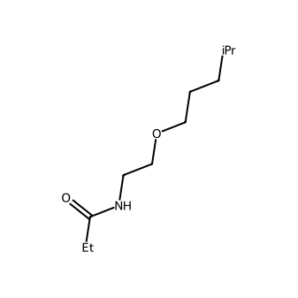 CCC(=O)NCCOCCCC(C)C